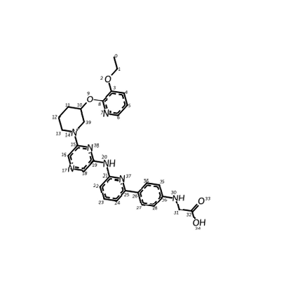 CCOc1cccnc1OC1CCCN(c2cncc(Nc3cccc(-c4ccc(NCC(=O)O)cc4)n3)n2)C1